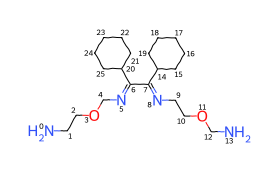 NCCOC/N=C(/C(=N/CCOCN)C1CCCCC1)C1CCCCC1